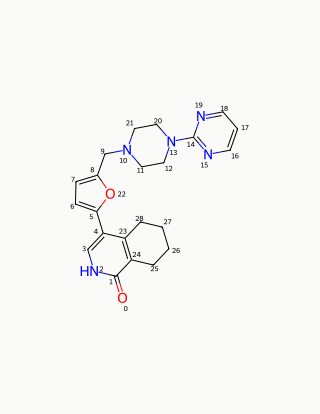 O=c1[nH]cc(-c2ccc(CN3CCN(c4ncccn4)CC3)o2)c2c1CCCC2